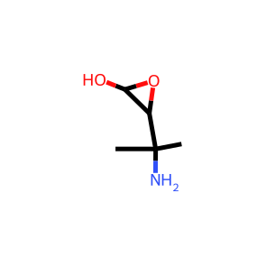 CC(C)(N)C1OC1O